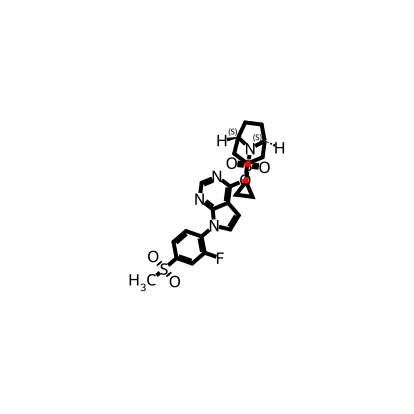 CS(=O)(=O)c1ccc(-n2ccc3c(OC4C[C@@H]5CC[C@@H](C4)N5S(=O)(=O)C4CC4)ncnc32)c(F)c1